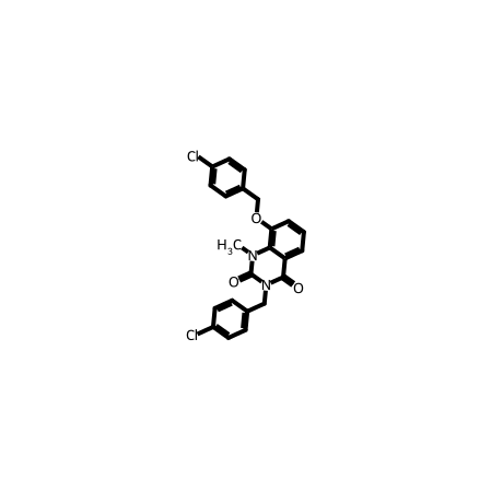 Cn1c(=O)n(Cc2ccc(Cl)cc2)c(=O)c2cccc(OCc3ccc(Cl)cc3)c21